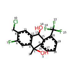 CC(C)(O)c1cc(F)c(CCl)cc1C(O)c1ccccc1C(F)(F)F